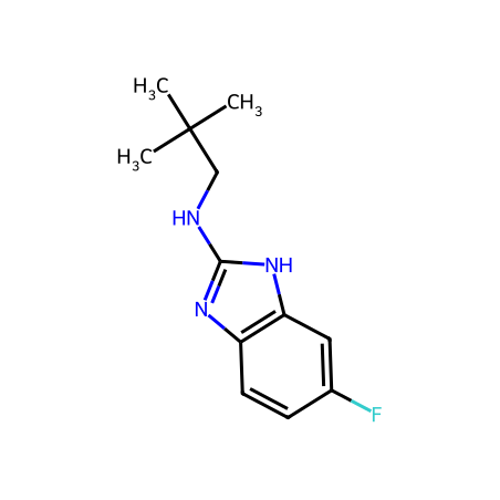 CC(C)(C)CNc1nc2ccc(F)cc2[nH]1